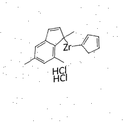 Cc1cc(C)c2c(c1)C=C[C]2(C)[Zr][C]1=CC=CC1.Cl.Cl